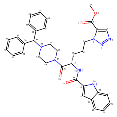 COC(=O)c1cnnn1CCC[C@H](NC(=O)c1cc2ccccc2[nH]1)C(=O)N1CCN(C(c2ccccc2)c2ccccc2)CC1